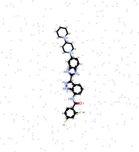 O=C(Nc1cccc2c(-c3nc4ccc(N5CCC(N6CCCCC6)CC5)cc4[nH]3)n[nH]c12)c1ccc(F)cc1F